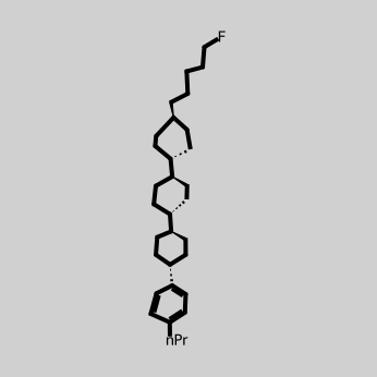 CCCc1ccc([C@H]2CC[C@H]([C@H]3CC[C@H]([C@H]4CC[C@H](CCCCCF)CC4)CC3)CC2)cc1